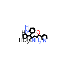 NC(CCC(=O)c1cccnc1)(C(=O)O)C1c2ccccc2N[C@@H]2CCC[C@H]12